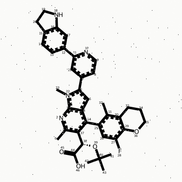 Cc1nc2c(cc(-c3ccnc(-c4ccc5c(c4)NCC5)c3)n2C)c(-c2cc(F)c3c(c2C)CCCO3)c1[C@H](OC(C)(C)C)C(=O)O